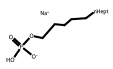 CCCCCCCCCCCCOP(=O)([O-])O.[Na+]